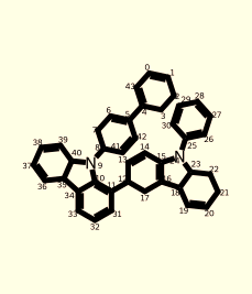 C1=CCCC(C2=CCC(N3c4c(C5C=CC6=C(C5)C5C=CCCC5N6c5ccccc5)cccc4C4C=CC=CC43)C=C2)=C1